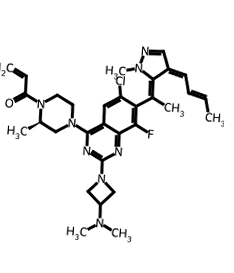 C=CC(=O)N1CCN(c2nc(N3CC(N(C)C)C3)nc3c(F)c(/C(C)=c4/c(=C\C=C\C)cnn4C)c(Cl)cc23)C[C@H]1C